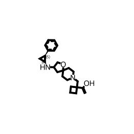 C=C(O)C1(CN2CCC3(CC2)CC(N[C@@H]2C[C@H]2c2ccccc2)CO3)CCC1